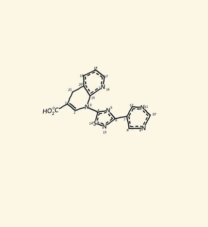 O=C(O)C1=CN(c2nc(-c3cncnc3)ns2)c2ncccc2C1